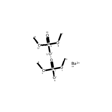 COP(=O)([O-])OC.COP(=O)([O-])OC.[Ba+2]